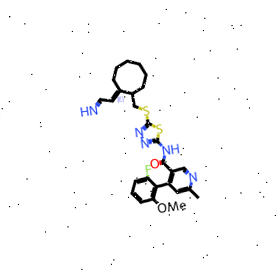 COc1cccc(F)c1-c1cc(C)ncc1C(=O)Nc1nnc(SCC2CCCCCC/C2=C\C=N)s1